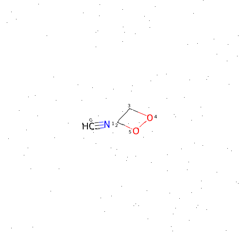 C#N.C1COO1